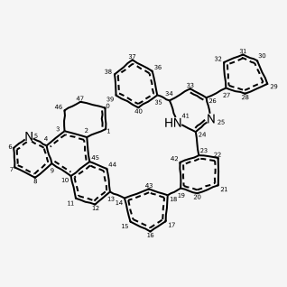 C1=Cc2c(c3ncccc3c3ccc(-c4cccc(-c5cccc(C6=NC(c7ccccc7)=CC(c7ccccc7)N6)c5)c4)cc23)CC1